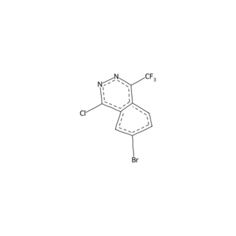 FC(F)(F)c1nnc(Cl)c2cc(Br)ccc12